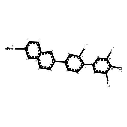 CCCCCc1ccc2cc(-c3ccc(-c4cc(F)c(Cl)c(F)c4)c(F)c3)ccc2c1